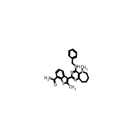 Cc1sc2c(C(N)=O)cccc2c1-c1nc2c(c(NCc3ccccc3)n1)N(C)CCCC2